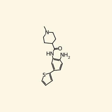 CN1CCC(C(=O)Nc2cc(-c3cccs3)ccc2N)CC1